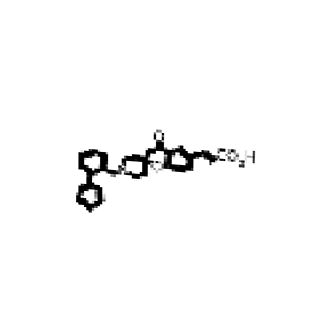 O=C(O)C=Cc1ccc2c(c1)C(=O)CC1(CCN(Cc3ccccc3-c3ccccc3)CC1)O2